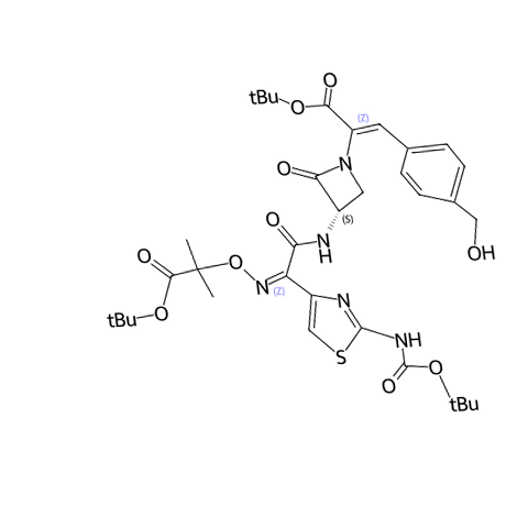 CC(C)(C)OC(=O)Nc1nc(/C(=N/OC(C)(C)C(=O)OC(C)(C)C)C(=O)N[C@H]2CN(/C(=C\c3ccc(CO)cc3)C(=O)OC(C)(C)C)C2=O)cs1